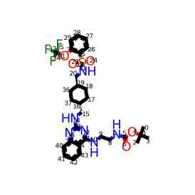 CC(C)(C)OC(=O)NCCNc1nc(NC[C@H]2CC[C@H](CNS(=O)(=O)c3ccccc3OC(F)(F)F)CC2)nc2ccccc12